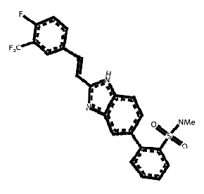 CNS(=O)(=O)c1ccccc1-c1ccc2[nH]c(/C=C/c3ccc(F)c(C(F)(F)F)c3)nc2c1